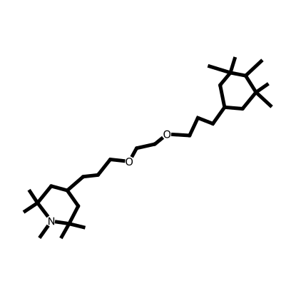 CC1C(C)(C)CC(CCCOCCOCCCC2CC(C)(C)N(C)C(C)(C)C2)CC1(C)C